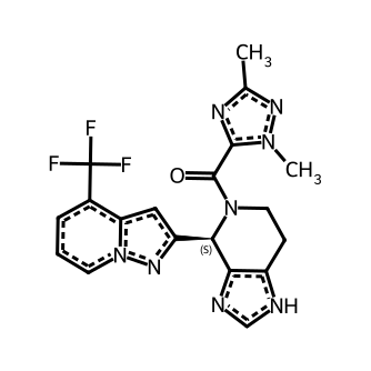 Cc1nc(C(=O)N2CCc3[nH]cnc3[C@H]2c2cc3c(C(F)(F)F)cccn3n2)n(C)n1